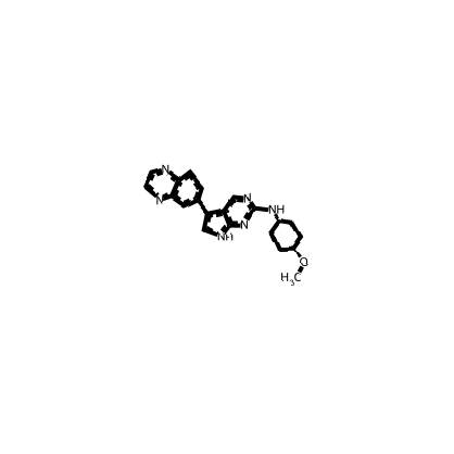 CO[C@H]1CC[C@@H](Nc2ncc3c(-c4ccc5nccnc5c4)c[nH]c3n2)CC1